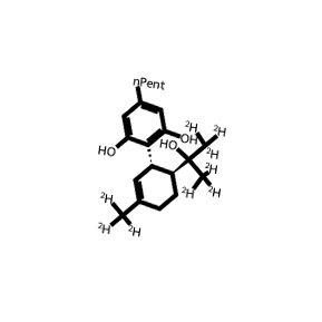 [2H]C([2H])([2H])C1=C[C@H](c2c(O)cc(CCCCC)cc2O)[C@@H](C(O)(C([2H])([2H])[2H])C([2H])([2H])[2H])CC1